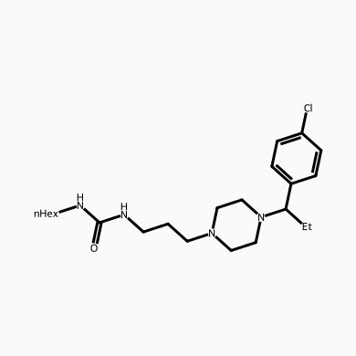 CCCCCCNC(=O)NCCCN1CCN(C(CC)c2ccc(Cl)cc2)CC1